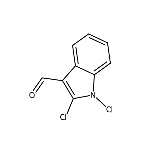 O=Cc1c(Cl)n(Cl)c2ccccc12